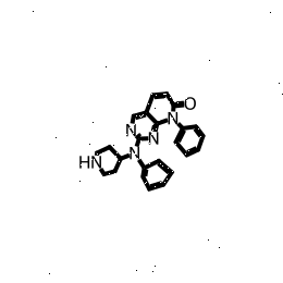 O=c1ccc2cnc(N(c3ccccc3)C3CCNCC3)nc2n1-c1ccccc1